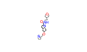 CN1CCCC1CCOc1ccc2nc(C(=O)NCCC3CCOCC3)ccc2c1